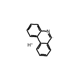 [H+].[c]1nc2ccccc2c2ccccc12